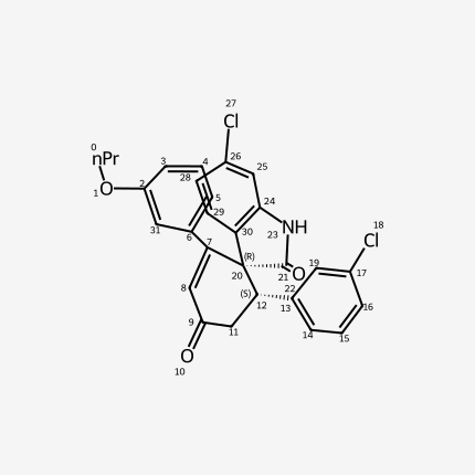 CCCOc1cccc(C2=CC(=O)C[C@@H](c3cccc(Cl)c3)[C@@]23C(=O)Nc2cc(Cl)ccc23)c1